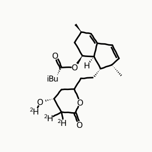 [2H]O[C@@H]1CC(CC[C@@H]2[C@@H]3C(=C[C@H](C)C[C@@H]3OC(=O)[C@@H](C)CC)C=C[C@@H]2C)OC(=O)C1([2H])[2H]